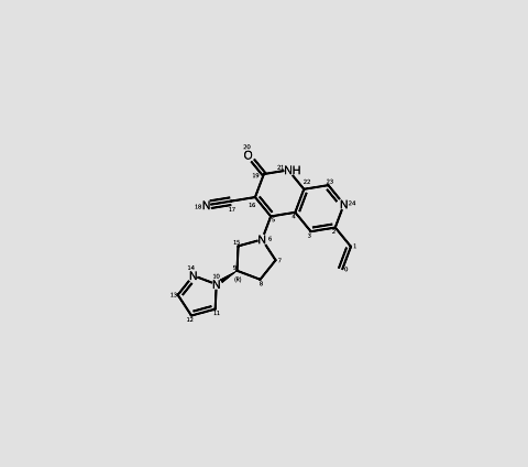 C=Cc1cc2c(N3CC[C@@H](n4cccn4)C3)c(C#N)c(=O)[nH]c2cn1